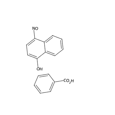 O=C(O)c1ccccc1.O=Nc1ccc(O)c2ccccc12